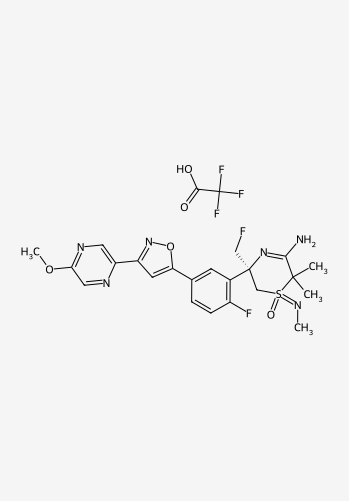 CN=S1(=O)C[C@@](CF)(c2cc(-c3cc(-c4cnc(OC)cn4)no3)ccc2F)N=C(N)C1(C)C.O=C(O)C(F)(F)F